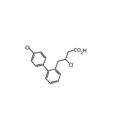 O=C(O)CC(Cl)Cc1ccccc1-c1ccc(Cl)cc1